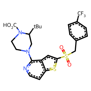 CC(C)(C)C1CN(c2nccc3sc(S(=O)(=O)Cc4ccc(C(F)(F)F)cc4)cc23)CCN1C(=O)O